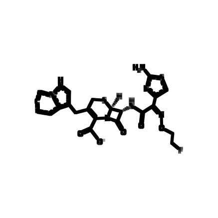 Nc1nc(/C(=N/OCCF)C(=O)N[C@@H]2C(=O)N3C(C(=O)[O-])=C(Cc4c[nH][n+]5ccccc45)CS[C@@H]23)cs1